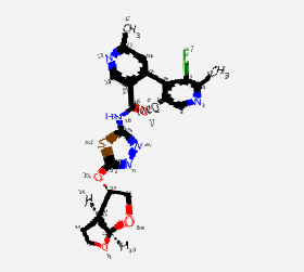 COc1cnc(C)c(F)c1-c1cc(C)ncc1C(=O)Nc1nnc(O[C@@H]2CO[C@H]3OCC[C@H]32)s1